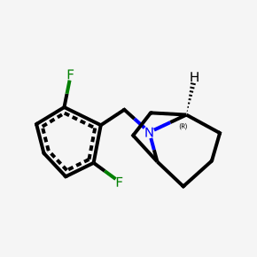 Fc1cccc(F)c1CN1C2CCC[C@@H]1CC2